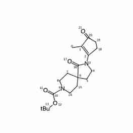 CC1=C(N2CCC3(CCN(C(=O)OC(C)(C)C)CC3)C2=O)CCC1=O